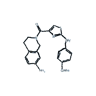 COc1ccc(Nc2nc(C(=O)N3CCc4ccc(N)cc4C3)cs2)cc1